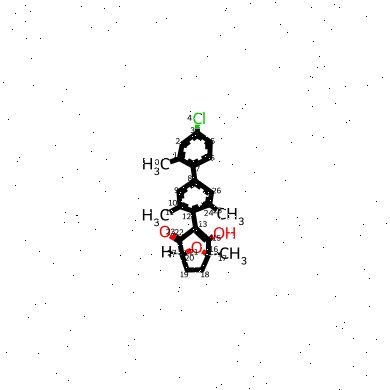 Cc1cc(Cl)ccc1-c1cc(C)c(C2=C(O)[C@@]3(C)CC[C@H](O3)C2=O)c(C)c1